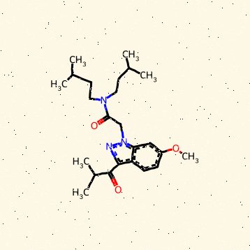 COc1ccc2c(C(=O)C(C)C)nn(CC(=O)N(CCC(C)C)CCC(C)C)c2c1